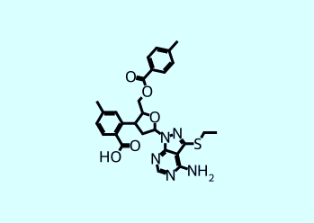 CCSc1nn(C2CC(c3cc(C)ccc3C(=O)O)C(COC(=O)c3ccc(C)cc3)O2)c2ncnc(N)c12